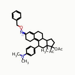 CC(=O)OC1(C(C)=O)CCC2C3CCC4=C/C(=N\OCc5ccccc5)CCC4=C3C(c3ccc(N(C)C)cc3)CC21C